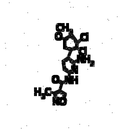 COc1cc(Cl)c(Cl)c(-c2ccc(NC(=O)c3conc3C)nc2N)c1